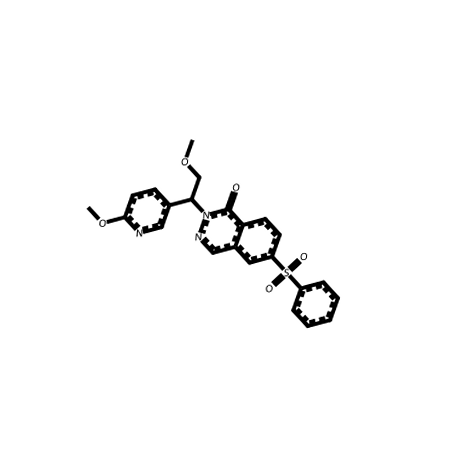 COCC(c1ccc(OC)nc1)n1ncc2cc(S(=O)(=O)c3ccccc3)ccc2c1=O